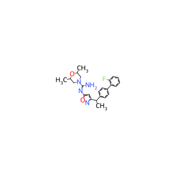 CC1CN(/C(N)=N/c2cc(C(C)c3ccc(-c4ccccc4F)cc3)no2)CC(C)O1